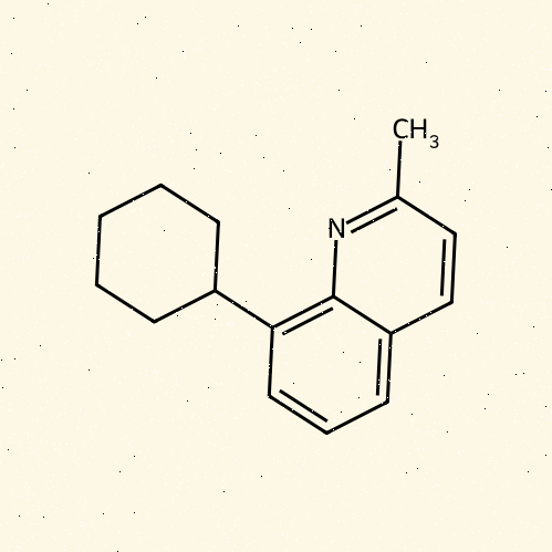 Cc1ccc2cccc(C3CCCCC3)c2n1